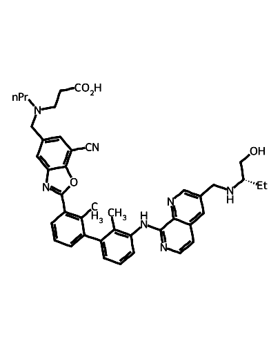 CCCN(CCC(=O)O)Cc1cc(C#N)c2oc(-c3cccc(-c4cccc(Nc5nccc6cc(CN[C@@H](CC)CO)cnc56)c4C)c3C)nc2c1